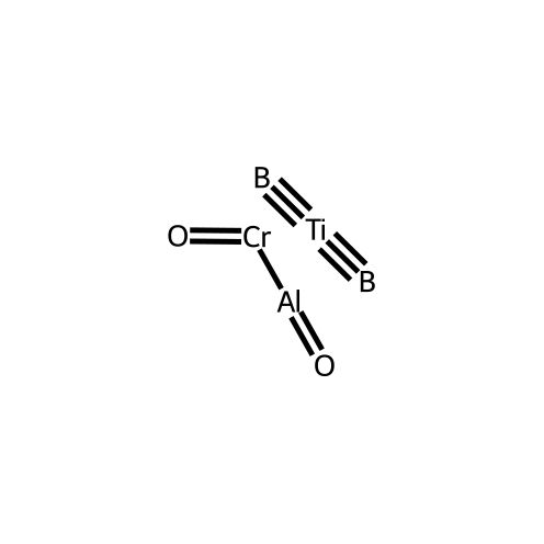 [B]#[Ti]#[B].[O]=[Al][Cr]=[O]